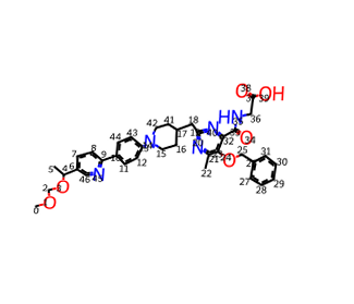 COCOC(C)c1ccc(-c2ccc(N3CCC(Cc4nc(C)c(OCc5ccccc5)c(C(=O)NCC(=O)O)n4)CC3)cc2)nc1